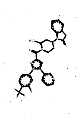 CC1CC(N2C(=O)Cc3ccccc32)CCN1C(=O)c1cc(-c2cccnc2)n(-c2ccc(C(F)(F)F)c(F)c2)n1